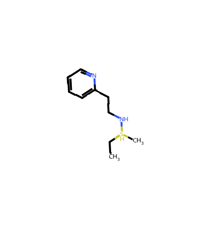 CC[SH](C)NCCc1ccccn1